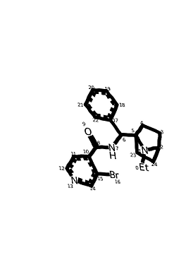 CCN1C2CCC1(C(NC(=O)c1ccncc1Br)c1ccccc1)CC2